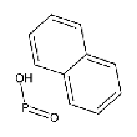 O=PO.c1ccc2ccccc2c1